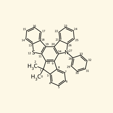 CC1(C)c2ccccc2-c2c1c1sc3ccccc3c1c1c3ccccc3n(-c3ccccc3)c21